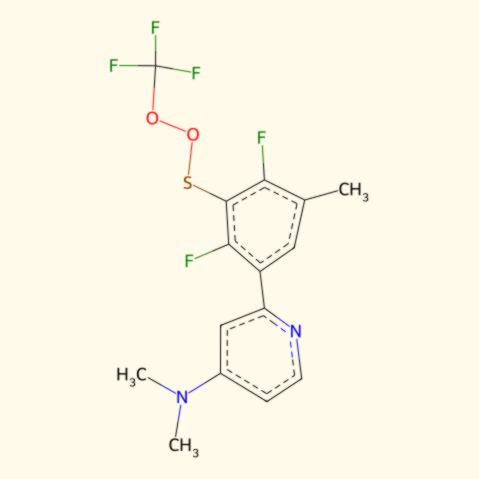 Cc1cc(-c2cc(N(C)C)ccn2)c(F)c(SOOC(F)(F)F)c1F